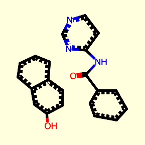 O=C(Nc1ccncn1)c1ccccc1.Oc1ccc2ccccc2c1